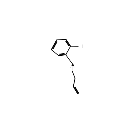 C=CC/N=C/c1ccccc1Cl